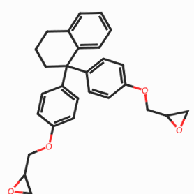 c1ccc2c(c1)CCCC2(c1ccc(OCC2CO2)cc1)c1ccc(OCC2CO2)cc1